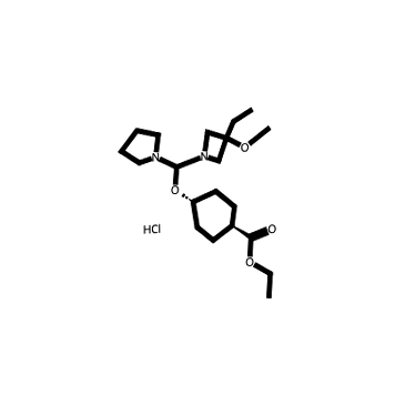 CCOC(=O)[C@H]1CC[C@H](OC(N2CCCC2)N2CC(CC)(OC)C2)CC1.Cl